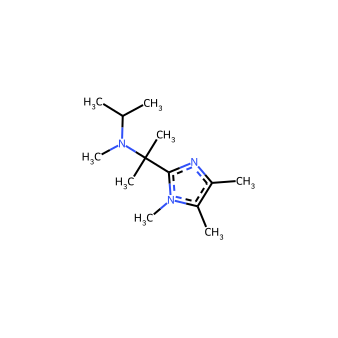 Cc1nc(C(C)(C)N(C)C(C)C)n(C)c1C